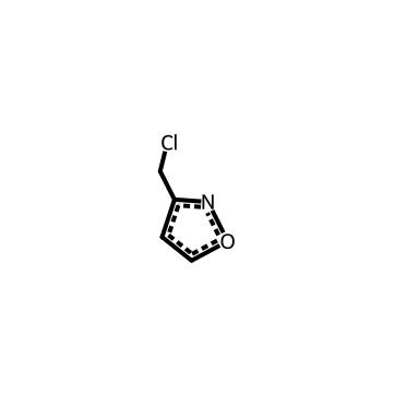 ClCc1ccon1